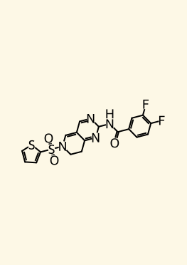 O=C(NC1N=CC2=CN(S(=O)(=O)c3cccs3)CCC2=N1)c1ccc(F)c(F)c1